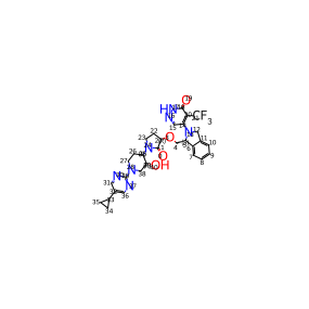 O=C1[C@H](OC[C@@H]2c3ccccc3CN2c2cn[nH]c(=O)c2C(F)(F)F)CCN1[C@@H]1CCN(c2ncc(C3CC3)cn2)C[C@H]1O